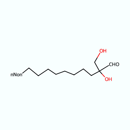 CCCCCCCCCCCCCCCCCC(O)(C=O)CO